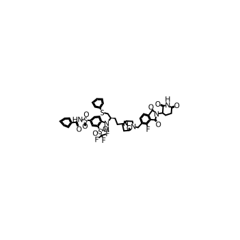 O=C1CCC(N2C(=O)c3ccc(CN4CC5CCC4CN5CC[C@H](CSc4ccccc4)Nc4ccc(S(=O)(=O)NC(=O)c5ccccc5)cc4S(=O)(=O)C(F)(F)F)c(F)c3C2=O)C(=O)N1